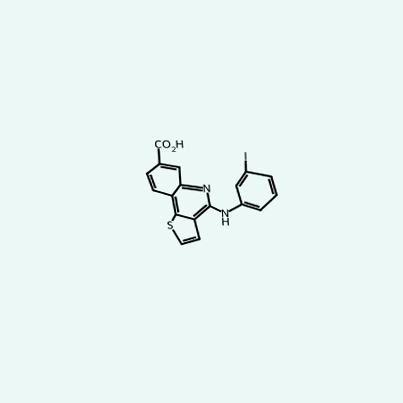 O=C(O)c1ccc2c(c1)nc(Nc1cccc(I)c1)c1ccsc12